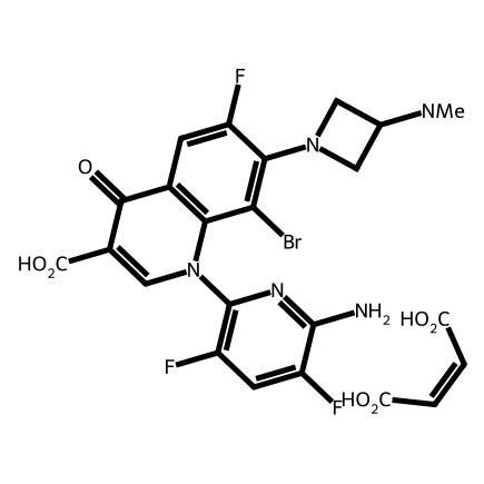 CNC1CN(c2c(F)cc3c(=O)c(C(=O)O)cn(-c4nc(N)c(F)cc4F)c3c2Br)C1.O=C(O)/C=C\C(=O)O